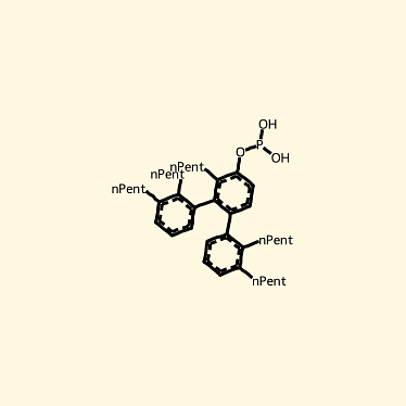 CCCCCc1cccc(-c2ccc(OP(O)O)c(CCCCC)c2-c2cccc(CCCCC)c2CCCCC)c1CCCCC